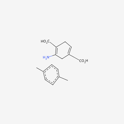 Cc1ccc(C)cc1.NC1=C(C(=O)O)CC=C(C(=O)O)C1